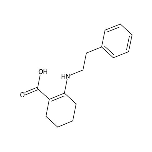 O=C(O)C1=C(NCCc2ccccc2)CCCC1